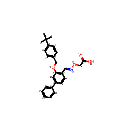 CC(C)(C)c1ccc(COc2cc(-c3ccccc3)ccc2/C=N/OCC(=O)O)cc1